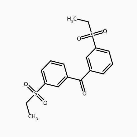 CCS(=O)(=O)c1cccc(C(=O)c2cccc(S(=O)(=O)CC)c2)c1